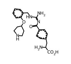 NC(=NC(=O)c1ccc(CC(N)C(=O)O)cc1)NCc1ccccc1OC1CCNCC1